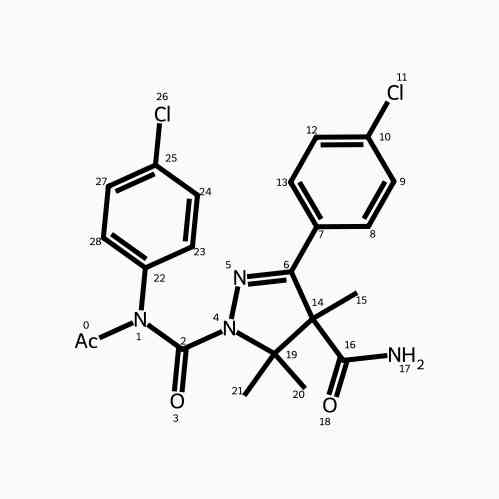 CC(=O)N(C(=O)N1N=C(c2ccc(Cl)cc2)C(C)(C(N)=O)C1(C)C)c1ccc(Cl)cc1